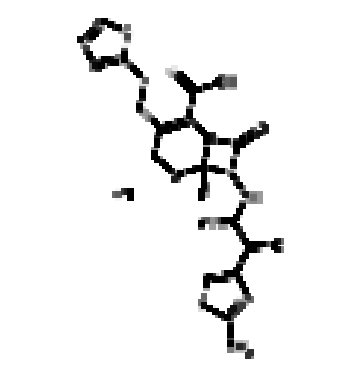 Cl.Nc1nc(C(=O)C(=O)NC2C(=O)N3C(C(=O)O)=C(CSc4nncs4)CS[C@@H]23)cs1